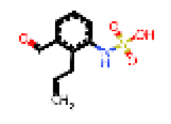 C=CCc1c([C]=O)cccc1NS(=O)(=O)O